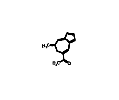 C=C1C=C2C=CC=C2C=C(C(C)=O)C1